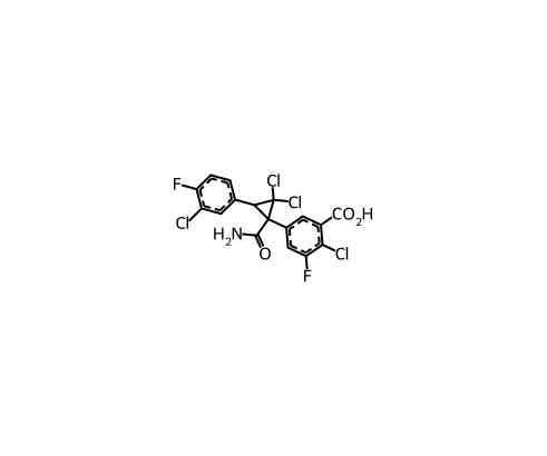 NC(=O)C1(c2cc(F)c(Cl)c(C(=O)O)c2)C(c2ccc(F)c(Cl)c2)C1(Cl)Cl